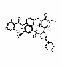 CCOC(=O)[C@H](Cc1ccc(NC(=O)c2c(Cl)cncc2Cl)cc1)NC(=O)C1C[C@@H](N2CCC(F)CC2)CN1S(=O)(=O)c1cccc(C#N)c1